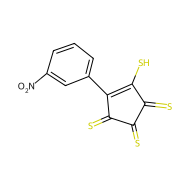 O=[N+]([O-])c1cccc(-c2c(S)c(=S)c(=S)c2=S)c1